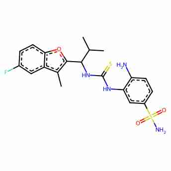 Cc1c(C(NC(=S)Nc2cc(S(N)(=O)=O)ccc2N)C(C)C)oc2ccc(F)cc12